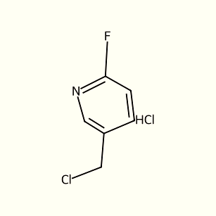 Cl.Fc1ccc(CCl)cn1